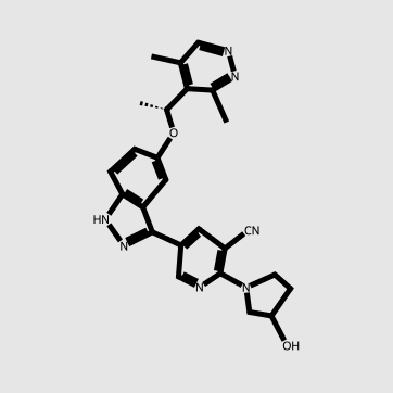 Cc1cnnc(C)c1[C@@H](C)Oc1ccc2[nH]nc(-c3cnc(N4CCC(O)C4)c(C#N)c3)c2c1